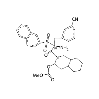 COC(=O)OC1CC2CCCCC2CN1C(=O)[C@@](N)(Cc1cccc(C#N)c1)S(=O)(=O)c1ccc2ccccc2c1